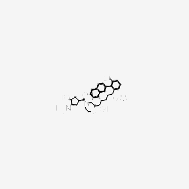 COC(CCCC(O)C1CN(C(=O)C2CC(N)C(O)C2)CCO1)c1cccc(Cl)c1-c1ccc2ccccc2c1